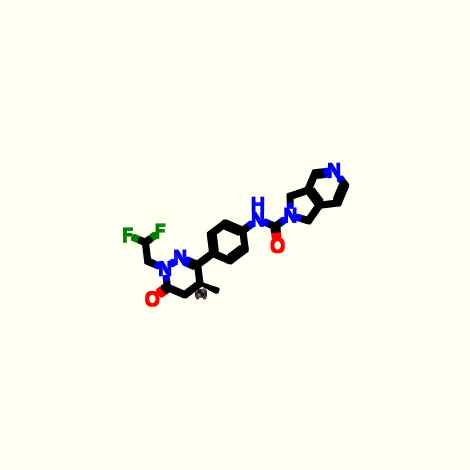 C[C@H]1CC(=O)N(CC(F)F)N=C1c1ccc(NC(=O)N2Cc3ccncc3C2)cc1